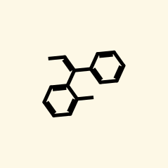 C/C=C(/c1ccccc1)c1ccccc1C